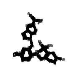 O=C(O)c1ccc2c(ccn2Cc2cc(Cl)ccc2OCc2ccc(F)cc2C(F)(F)F)c1